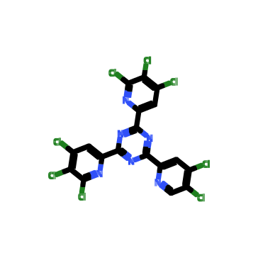 Clc1cnc(-c2nc(-c3cc(Cl)c(Cl)c(Cl)n3)nc(-c3cc(Cl)c(Cl)c(Cl)n3)n2)cc1Cl